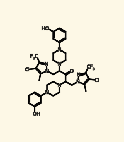 Cc1c(Cl)c(C(F)(F)F)nn1CC(C(=O)C(Cn1nc(C(F)(F)F)c(Cl)c1C)N1CCN(c2cccc(O)c2)CC1)N1CCN(c2cccc(O)c2)CC1